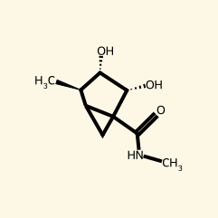 CNC(=O)C12CC1[C@@H](C)[C@H](O)[C@@H]2O